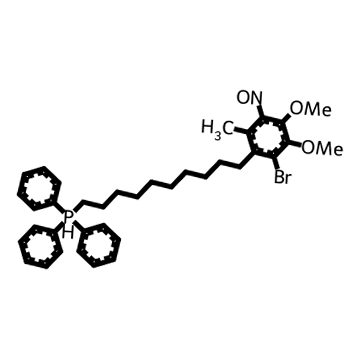 COc1c(Br)c(CCCCCCCCCC[PH](c2ccccc2)(c2ccccc2)c2ccccc2)c(C)c(N=O)c1OC